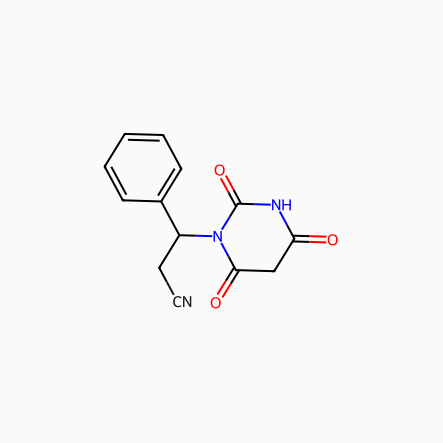 N#CCC(c1ccccc1)N1C(=O)CC(=O)NC1=O